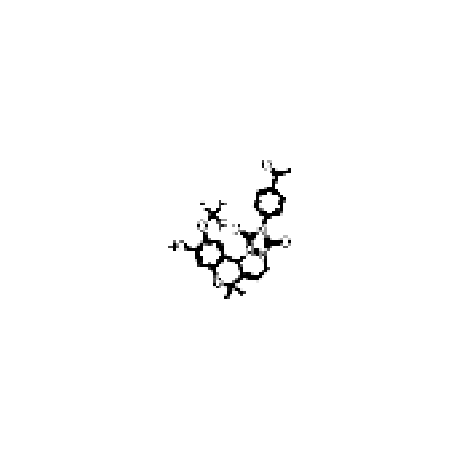 CC(=O)c1ccc(-n2c(=O)n3n(c2=O)C2C(=CC3)C(C)(C)Oc3cc(O)c(OC(F)(F)F)cc32)cc1